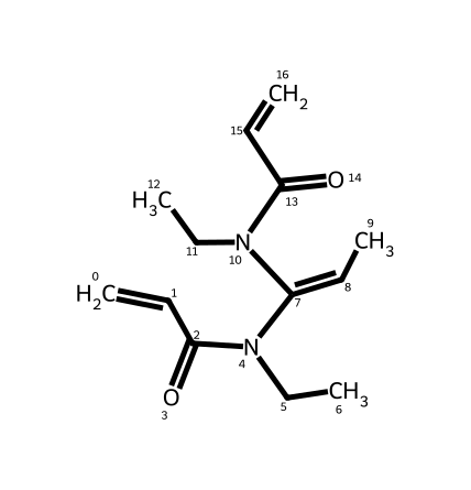 C=CC(=O)N(CC)C(=CC)N(CC)C(=O)C=C